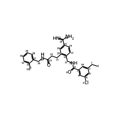 CCc1cc(Cl)cc(C(=O)NCc2ccc(C(=N)N)cc2CCC(=O)NCc2ccccc2F)c1